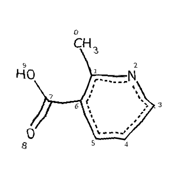 Cc1n[c]ccc1C(=O)O